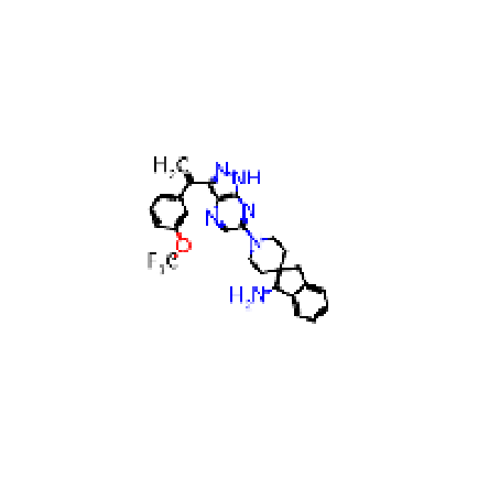 C=C(c1cccc(OC(F)(F)F)c1)c1n[nH]c2nc(N3CCC4(CC3)Cc3ccccc3[C@H]4N)cnc12